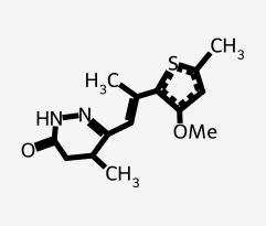 COc1cc(C)sc1C(C)=CC1=NNC(=O)CC1C